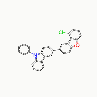 Clc1cccc2oc3ccc(-c4ccc5c(c4)c4ccccc4n5-c4ccccc4)cc3c12